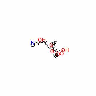 C/C(=C/C[C@H](O)/C(C)=C/c1ccccn1)CCC[C@H](C)[C@H](O[Si](C)(C)C(C)(C)C)[C@@H](C)C(=O)C(C)(C)[C@H](CC(=O)O)O[Si](C)(C)C(C)(C)C